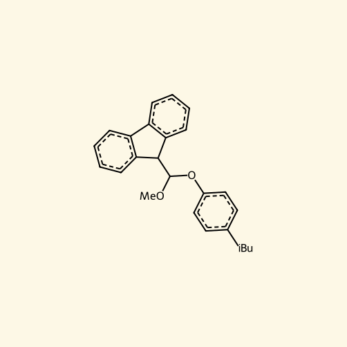 CCC(C)c1ccc(OC(OC)C2c3ccccc3-c3ccccc32)cc1